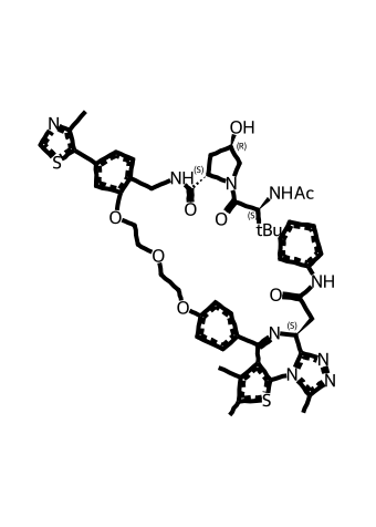 CC(=O)N[C@H](C(=O)N1C[C@H](O)C[C@H]1C(=O)NCc1ccc(-c2scnc2C)cc1OCCOCCOc1ccc(C2=N[C@@H](CC(=O)Nc3ccccc3)c3nnc(C)n3-c3sc(C)c(C)c32)cc1)C(C)(C)C